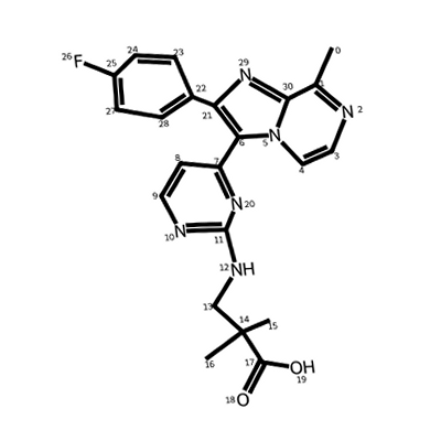 Cc1nccn2c(-c3ccnc(NCC(C)(C)C(=O)O)n3)c(-c3ccc(F)cc3)nc12